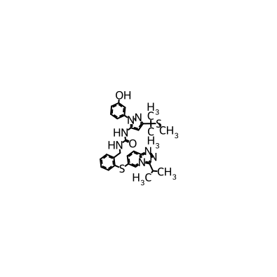 CSC(C)(C)c1cc(NC(=O)NCc2ccccc2Sc2ccc3nnc(C(C)C)n3c2)n(-c2cccc(O)c2)n1